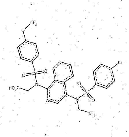 O=C(O)CN(c1ncc(N(CC(F)(F)F)S(=O)(=O)c2ccc(Cl)cc2)c2ccccc12)S(=O)(=O)c1ccc(OC(F)(F)F)cc1